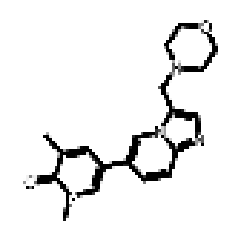 Cc1cc(-c2ccc3ncc(CN4CCOCC4)n3c2)cn(C)c1=O